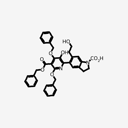 O=C(OCc1ccccc1)c1c(OCc2ccccc2)nc(-c2cc3c(cc2CCO)N(C(=O)O)CC3)c(O)c1OCc1ccccc1